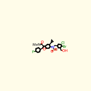 CNC(=O)c1c(-c2ccc(F)cc2)oc2cc(N(Cc3cc(Cl)c(Br)c(CO)c3)[SH](=O)=O)c(C3CC3)cc12